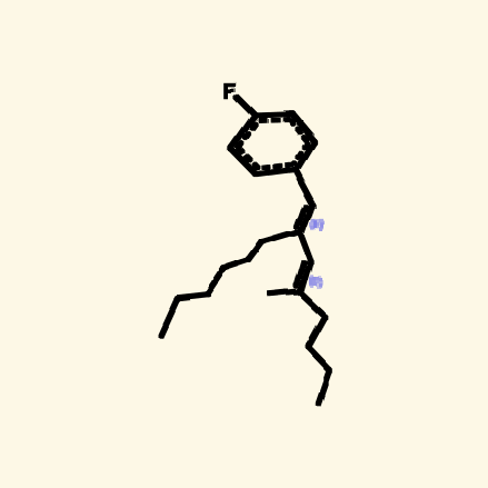 CCCCCCC(/C=C(\C)CCCC)=C\c1ccc(F)cc1